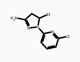 CCC1CC(N)=NN1c1cccc(Cl)n1